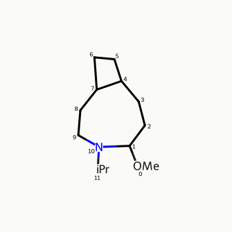 COC1CCC2CCC2CCN1C(C)C